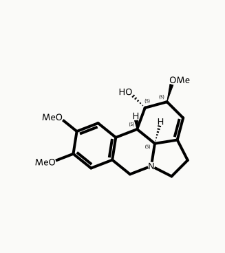 COc1cc2c(cc1OC)[C@@H]1[C@H](O)[C@@H](OC)C=C3CCN(C2)[C@H]31